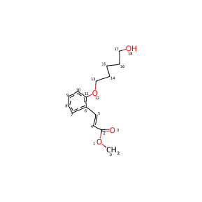 COC(=O)/C=C/c1ccccc1OCCCCCO